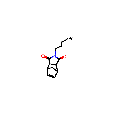 CC(C)CCCN1C(=O)C2C3C=CC(C3)C2C1=O